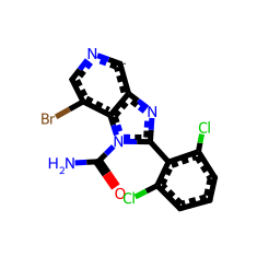 NC(=O)n1c(-c2c(Cl)cccc2Cl)nc2[c]ncc(Br)c21